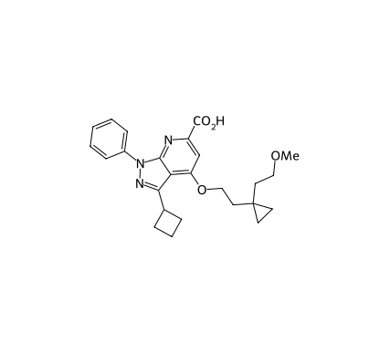 COCCC1(CCOc2cc(C(=O)O)nc3c2c(C2CCC2)nn3-c2ccccc2)CC1